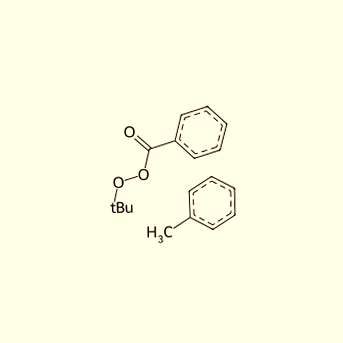 CC(C)(C)OOC(=O)c1ccccc1.Cc1ccccc1